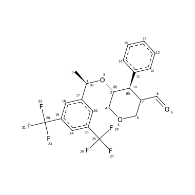 C[C@@H](O[C@H]1COCC(C=O)[C@@H]1c1ccccc1)c1cc(C(F)(F)F)cc(C(F)(F)F)c1